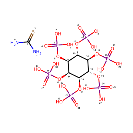 NC(N)=S.O=P(O)(O)O[C@H]1[C@H](OP(=O)(O)O)[C@@H](OP(=O)(O)O)[C@H](OP(=O)(O)O)[C@@H](OP(=O)(O)O)[C@H]1OP(=O)(O)O